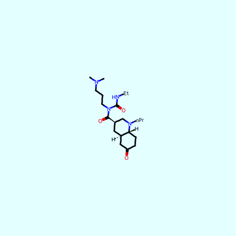 CCCN1C[C@H](C(=O)N(CCCN(C)C)C(=O)NCC)C[C@@H]2CC(=O)CC[C@H]21